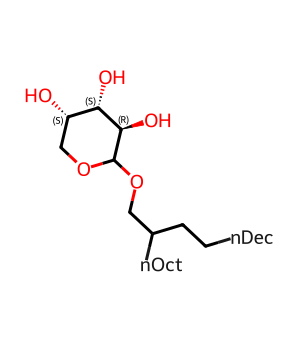 CCCCCCCCCCCCC(CCCCCCCC)COC1OC[C@H](O)[C@H](O)[C@H]1O